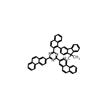 CC1(C)c2ccccc2-c2cc(-c3c(-c4nc(-c5ccc6c(ccc7ccccc76)c5)nc(-c5ccc6c(ccc7ccccc76)c5)n4)ccc4ccccc34)ccc21